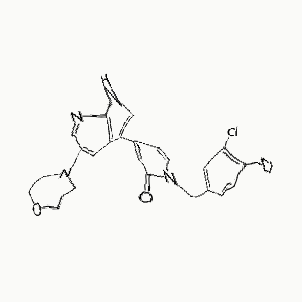 O=c1cc(-c2c[nH]c3ncc(N4CCOCC4)cc23)ccn1Cc1ccc(Cl)c(Cl)c1